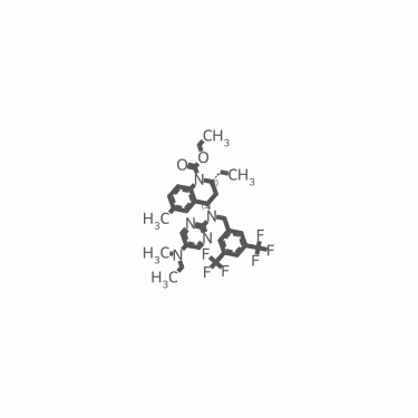 CCOC(=O)N1c2ccc(C)cc2[C@@H](N(Cc2cc(C(F)(F)F)cc(C(F)(F)F)c2)c2ncc(N(C)CC)cn2)C[C@H]1CC